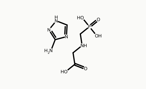 Nc1nc[nH]n1.O=C(O)CNCP(=O)(O)O